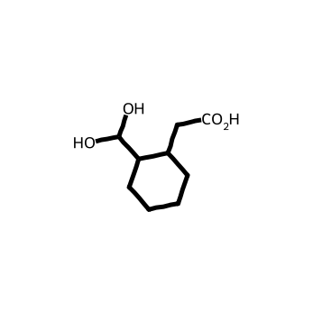 O=C(O)CC1CCCCC1C(O)O